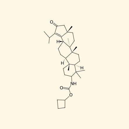 CC(C)C1=C2[C@H]3CC[C@@H]4[C@@]5(C)CCC(NC(=O)OC6CCC6)C(C)(C)[C@@H]5CC[C@@]4(C)[C@]3(C)CC[C@@]2(C)CC1=O